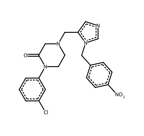 O=C1CN(Cc2cncn2Cc2ccc([N+](=O)[O-])cc2)CCN1c1cccc(Cl)c1